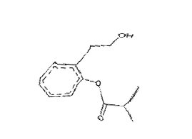 CC(C)C(=O)Oc1ccccc1CCO